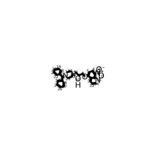 O=[N+]([O-])c1ccc(OCC(O)CN2CCN(C(c3ccccc3)c3ccccc3)CC2)c2cccnc12